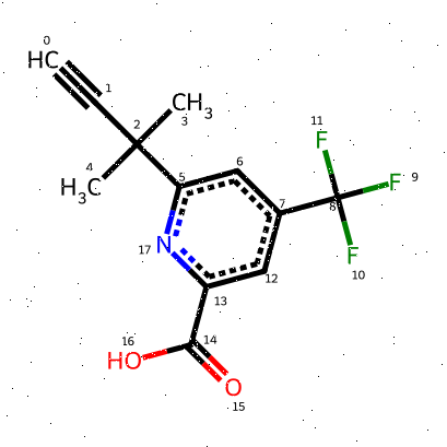 C#CC(C)(C)c1cc(C(F)(F)F)cc(C(=O)O)n1